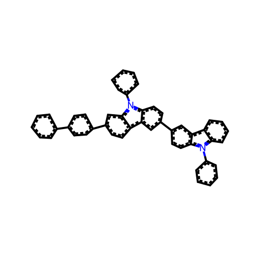 c1ccc(-c2ccc(-c3ccc4c5cc(-c6ccc7c(c6)c6ccccc6n7-c6ccccc6)ccc5n(-c5ccccc5)c4c3)cc2)cc1